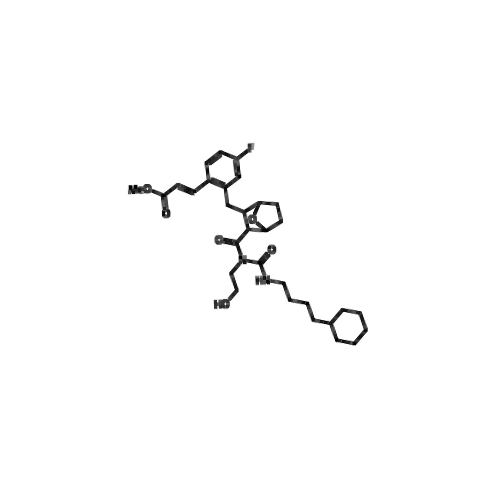 COC(=O)/C=C/c1ccc(F)cc1CC1C2CCC(O2)C1C(=O)N(CCO)C(=O)NCCCCC1CCCCC1